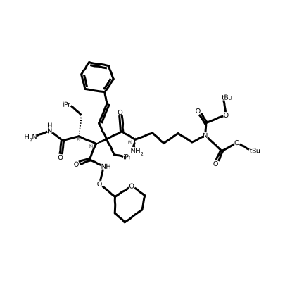 CC(C)C[C@@H](C(=O)NN)[C@H](C(=O)NOC1CCCCO1)C(C=Cc1ccccc1)(CC(C)C)C(=O)[C@H](N)CCCCN(C(=O)OC(C)(C)C)C(=O)OC(C)(C)C